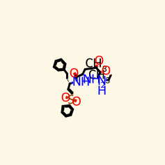 CC(C)(C[C@H](N)C(=O)N[C@H](C=CS(=O)(=O)c1ccccc1)CCc1ccccc1)C(=O)C1CNCCO1